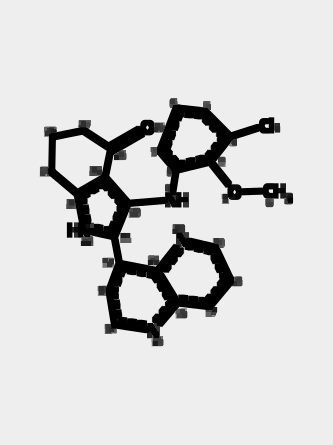 COc1c(Cl)cccc1Nc1c(-c2ccnc3cccnc23)[nH]c2c1C(=O)CCC2